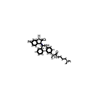 CN(C)CCCNC(=O)N(C)c1ccc(N/C(=C2\C(=O)Nc3cc(F)ccc32)c2ccccc2)cc1